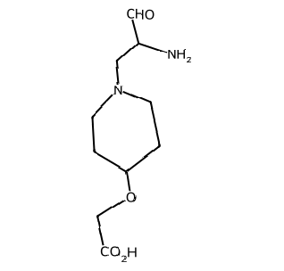 NC(C=O)CN1CCC(OCC(=O)O)CC1